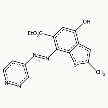 CCOC(=O)c1cc(O)c2cc(C)sc2c1/N=N/c1ccnnc1